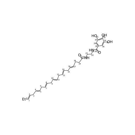 CCC=CCC=CCC=CCC=CCC=CCC=CCCC(=O)NCCNC(=O)c1cc(O)c(O)c(O)c1